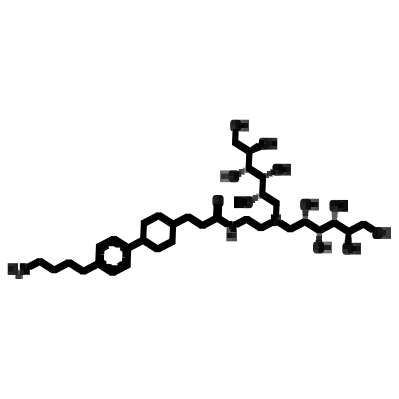 NCCCCc1ccc(C2CCC(CCC(=O)NCCN(C[C@H](O)[C@@H](O)[C@H](O)[C@H](O)CO)C[C@H](O)[C@@H](O)[C@H](O)[C@H](O)CO)CC2)cc1